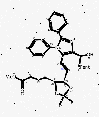 CCCCCC(O)c1nc(-c2ccccc2)n(-c2ccccc2)c1/C=C/[C@H]1OC(C)(C)O[C@H]1CCCC(=O)OC